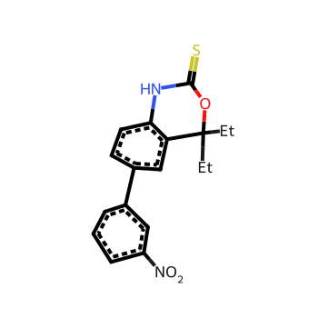 CCC1(CC)OC(=S)Nc2ccc(-c3cccc([N+](=O)[O-])c3)cc21